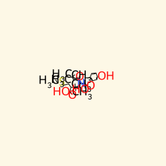 CCSCCC(C(=O)O)C(C)(C)CN(C(=O)CC(C)(C)C)C(Cc1ccc(O)cc1)C(=O)O